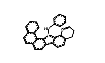 B(c1ccccc1)n1c2c3c(ccc2c2ccc4ccc5ccccc5c4c21)CCC=N3